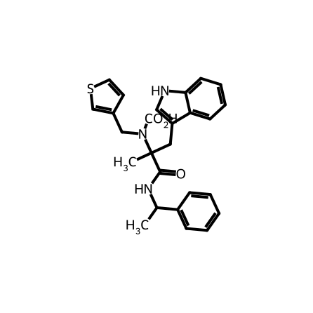 CC(NC(=O)C(C)(Cc1c[nH]c2ccccc12)N(Cc1ccsc1)C(=O)O)c1ccccc1